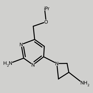 CC(C)OCc1cc(N2CC(N)C2)nc(N)n1